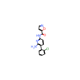 Nc1nc(NC(=O)c2ccno2)ccc1-c1ccccc1Cl